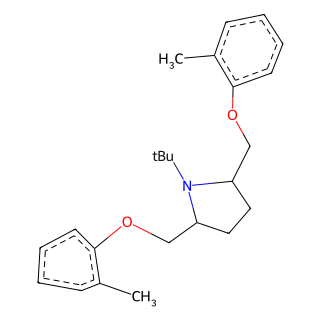 Cc1ccccc1OCC1CCC(COc2ccccc2C)N1C(C)(C)C